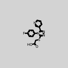 O=C(O)CSc1nnc(-c2cccnc2)n1-c1ccc(F)cc1